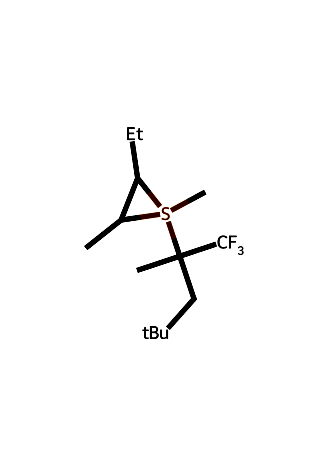 CCC1C(C)S1(C)C(C)(CC(C)(C)C)C(F)(F)F